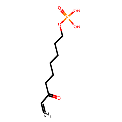 C=CC(=O)CCCCCCOP(=O)(O)O